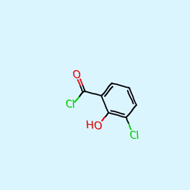 O=C(Cl)c1cccc(Cl)c1O